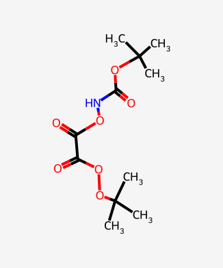 CC(C)(C)OOC(=O)C(=O)ONC(=O)OC(C)(C)C